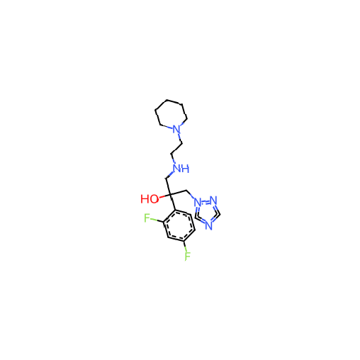 OC(CNCCN1CCCCC1)(Cn1cncn1)c1ccc(F)cc1F